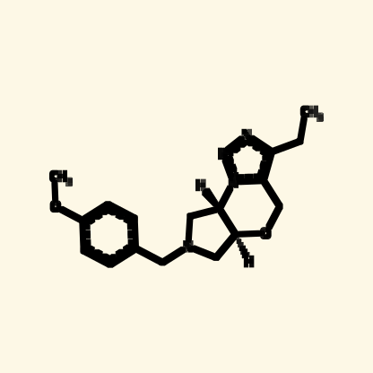 CCc1nnn2c1CO[C@H]1CN(Cc3ccc(OC)cc3)C[C@@H]12